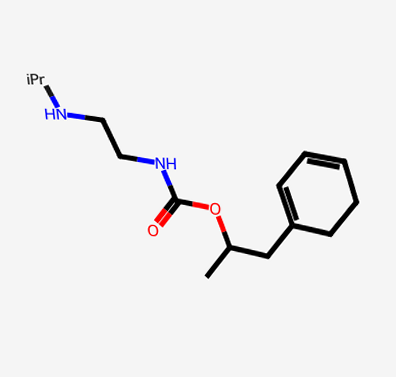 CC(C)NCCNC(=O)OC(C)CC1=CC=CCC1